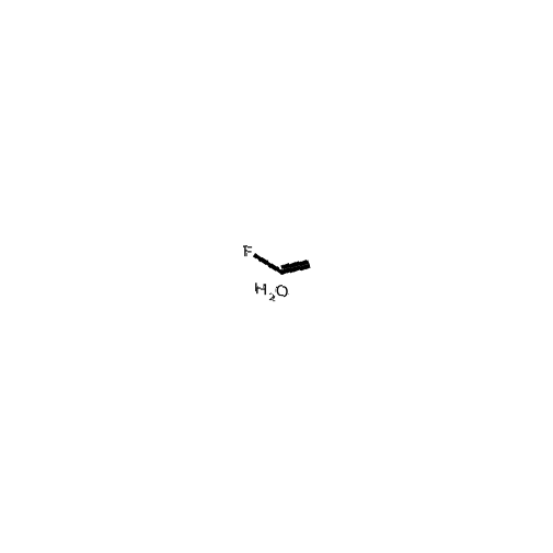 C=CF.O